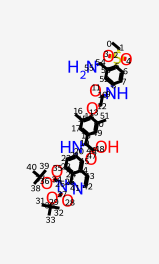 CCS(=O)(=O)c1ccc(NC(=O)COc2c(C)cc(C(Nc3ccc4c(N(C(=O)OC(C)(C)C)C(=O)OC(C)(C)C)nccc4c3)C(=O)O)cc2C)cc1CN